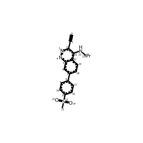 C#Cc1nnc2cc(-c3ccc(S(C)(=O)=O)cc3)ccc2c1NC(C)C